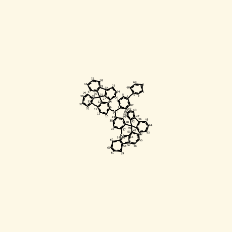 c1ccc(-c2ccc(N(c3ccc4c(c3)C3(c5ccccc5-c5ccccc53)c3ccccc3-4)c3ccc4c(c3)C3(c5ccccc5-c5ccccc53)c3cccc5c6ccccc6n-4c35)cc2)cc1